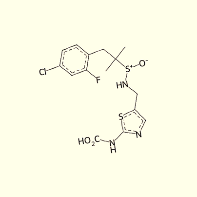 CC(C)(Cc1ccc(Cl)cc1F)[S+]([O-])NCc1cnc(NC(=O)O)s1